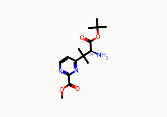 COC(=O)c1nccc(C(C)(C)[C@H](N)C(=O)OC(C)(C)C)n1